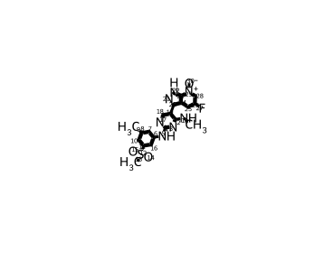 CNc1nc(Nc2cc(C)cc(S(C)(=O)=O)c2)ncc1-c1n[nH]c2c1cc(F)c[n+]2[O-]